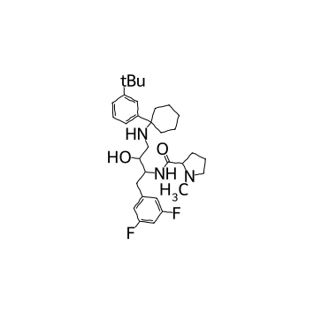 CN1CCCC1C(=O)NC(Cc1cc(F)cc(F)c1)C(O)CNC1(c2cccc(C(C)(C)C)c2)CCCCC1